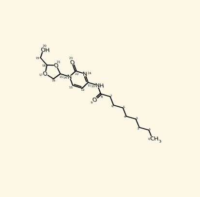 CCCCCCCCC(=O)Nc1ccn(C2COC(CO)O2)c(=O)n1